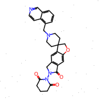 O=C1c2cc3c(cc2CN1N1C(=O)CCCC1=O)C1(CCN(Cc2cccc4cnccc24)CC1)CO3